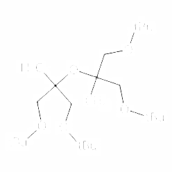 CC(C)(C)OCC(C)(COC(C)(C)C)OC(C)(COC(C)(C)C)COC(C)(C)C